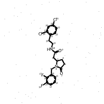 O=C(CC1CCC(=O)N1Cc1cccc(F)c1F)NCCc1ccc(Cl)cc1Cl